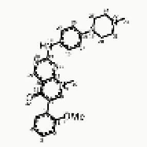 COc1ccccc1-c1cn(C)c2nc(Nc3ccc(N4CCN(C)CC4)cc3)ncc2c1=O